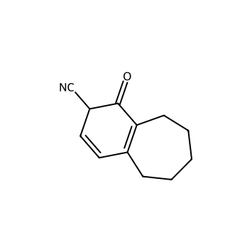 N#CC1C=CC2=C(CCCCC2)C1=O